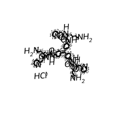 Cl.NCCCC[C@@H](NC(=O)Cc1ccccn1)C(=O)Nc1ccc(C(c2ccc(NC(=O)[C@@H](CCCCN)NC(=O)Cc3ccccn3)cc2)c2ccc(NC(=O)[C@@H](CCCCN)NC(=O)Cc3ccccn3)cc2)cc1